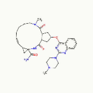 CN1CCN(c2nc(OC3CC4C(=O)NC5(C(N)=O)CC5C=CCCCCN(C)C(=O)C4C3)c3ccccc3n2)CC1